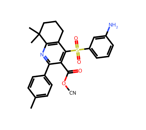 Cc1ccc(-c2nc3c(c(S(=O)(=O)c4cccc(N)c4)c2C(=O)OC#N)CCCC3(C)C)cc1